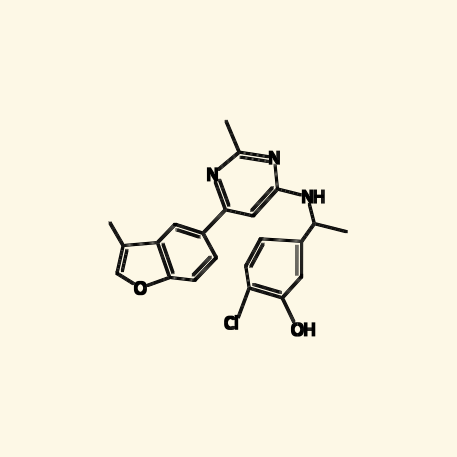 Cc1nc(NC(C)c2ccc(Cl)c(O)c2)cc(-c2ccc3occ(C)c3c2)n1